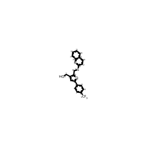 OCc1cc(-c2ccc(C(F)(F)F)cc2)oc1CSc1ccc2ccccc2n1